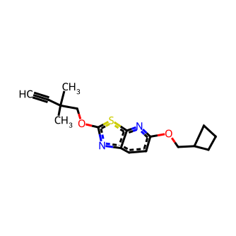 C#CC(C)(C)COc1nc2ccc(OCC3CCC3)nc2s1